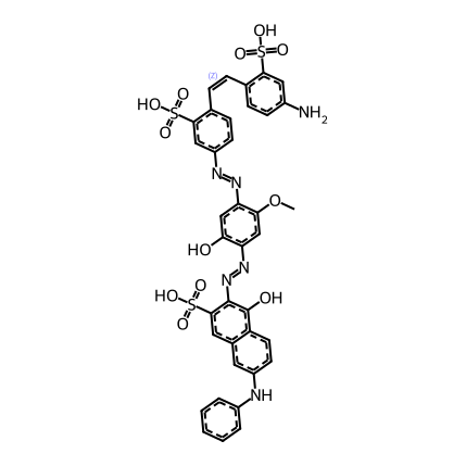 COc1cc(N=Nc2c(S(=O)(=O)O)cc3cc(Nc4ccccc4)ccc3c2O)c(O)cc1N=Nc1ccc(/C=C\c2ccc(N)cc2S(=O)(=O)O)c(S(=O)(=O)O)c1